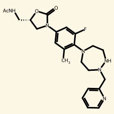 CC(=O)NC[C@H]1CN(c2cc(C)c(N3CCNN(Cc4ccccn4)CC3)c(F)c2)C(=O)O1